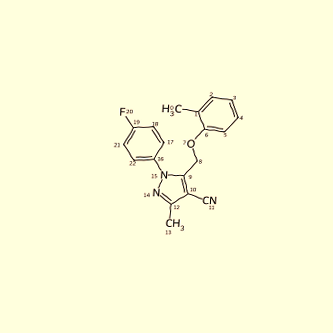 Cc1ccccc1OCc1c(C#N)c(C)nn1-c1ccc(F)cc1